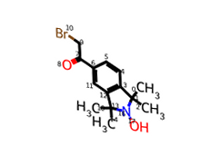 CC1(C)c2ccc(C(=O)CBr)cc2C(C)(C)N1O